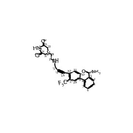 NC(=O)c1ccccc1-c1ccc(C#CCNCCN2CC(=O)NC(=O)C2)c(C(F)(F)F)c1